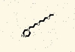 CCOCCCOCCCN1CCNCC1